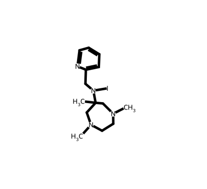 CN1CCN(C)CC(C)(N(I)Cc2ccccn2)C1